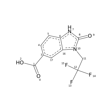 O=C(O)c1ccc2[nH]c(=O)n(CC(F)(F)F)c2c1